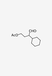 CC(=O)OCCC([C]=O)C1CCCCC1